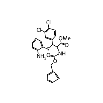 COC(=O)C(NC(=O)OCc1ccccc1)C(Sc1ccccc1N)c1ccc(Cl)c(Cl)c1